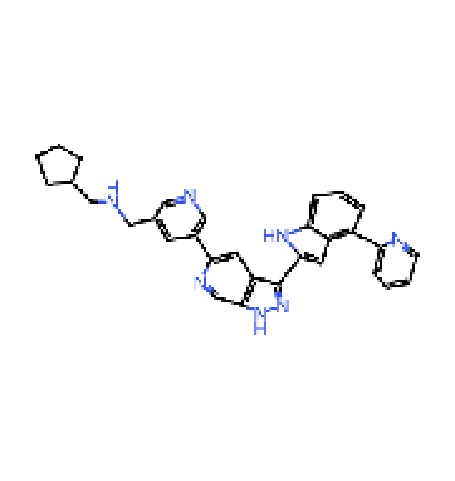 c1ccc(-c2cccc3[nH]c(-c4n[nH]c5cnc(-c6cncc(CNCC7CCCC7)c6)cc45)cc23)nc1